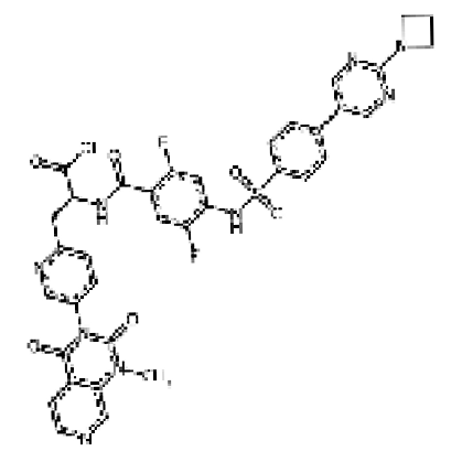 Cn1c(=O)n(-c2ccc(C[C@H](NC(=O)c3cc(F)c(NS(=O)(=O)c4ccc(-c5cnc(N6CCC6)nc5)cc4)cc3F)C(=O)O)nc2)c(=O)c2ccncc21